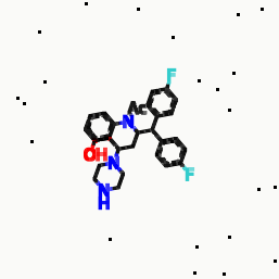 CC(=O)N(c1ccccc1)C(CC(CC(C)O)N1CCNCC1)C(c1ccc(F)cc1)c1ccc(F)cc1